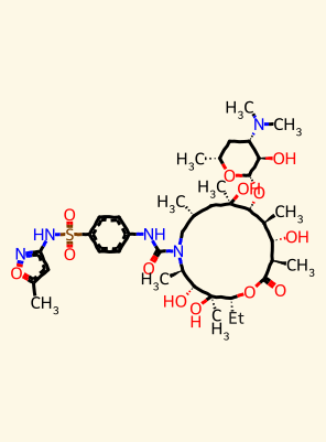 CC[C@H]1OC(=O)[C@H](C)[C@@H](O)[C@H](C)[C@@H](O[C@@H]2O[C@H](C)C[C@H](N(C)C)[C@H]2O)[C@](C)(O)C[C@@H](C)CN(C(=O)Nc2ccc(S(=O)(=O)Nc3cc(C)on3)cc2)[C@H](C)[C@@H](O)[C@]1(C)O